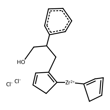 OCC(CC1=[C]([Zr+2][C]2=CC=CC2)CC=C1)c1ccccc1.[Cl-].[Cl-]